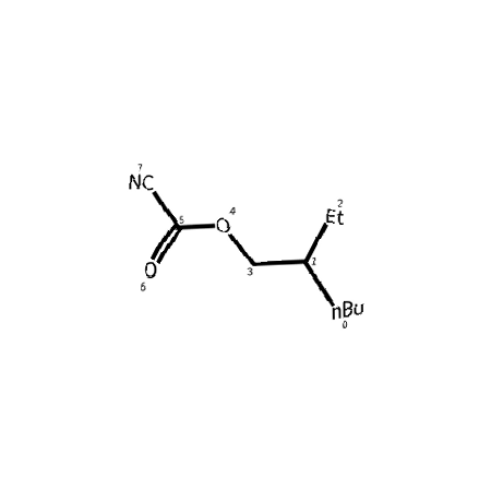 CCCCC(CC)COC(=O)C#N